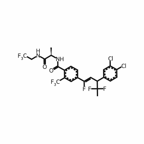 C[C@@H](NC(=O)c1ccc(/C(F)=C/C(c2ccc(Cl)c(Cl)c2)C(C)(F)F)cc1C(F)(F)F)C(=O)NCC(F)(F)F